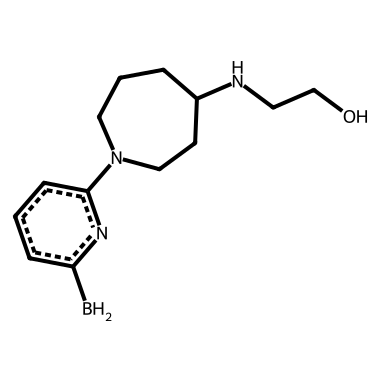 Bc1cccc(N2CCCC(NCCO)CC2)n1